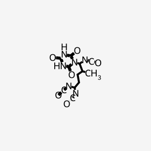 CC(CCC(N=C=O)N=C=O)C(N=C=O)n1c(=O)[nH]c(=O)[nH]c1=O